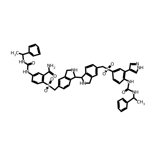 CC(NC(=O)Nc1ccc(S(=O)(=O)Cc2ccc3c(c2)CNC3C2NCc3cc(CS(=O)(=O)c4ccc(NC(=O)NC(C)c5ccccc5)c(-c5cn[nH]c5)c4)ccc32)c(C(N)=O)c1)c1ccccc1